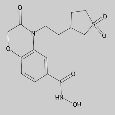 O=C(NO)c1ccc2c(c1)N(CCC1CCS(=O)(=O)C1)C(=O)CO2